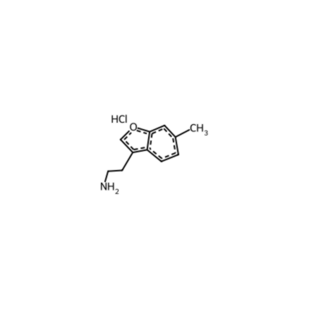 Cc1ccc2c(CCN)coc2c1.Cl